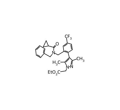 CCOC(=O)Cn1nc(C)c(-c2ccc(C(F)(F)F)cc2CN(Cc2ccccc2)C(=O)C2CC2)c1C